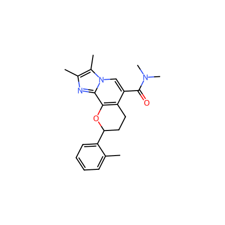 Cc1ccccc1C1CCc2c(C(=O)N(C)C)cn3c(C)c(C)nc3c2O1